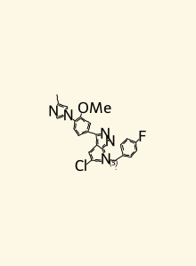 COc1cc(-c2nnc3n([C@@H](C)c4ccc(F)cc4)cc(Cl)cc2-3)ccc1-n1cnc(C)c1